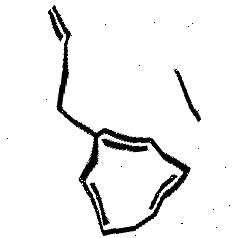 C=CCc1ccccc1.CC